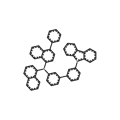 c1ccc(-c2ccc(N(c3cccc(-c4cccc(-n5c6ccccc6c6ccccc65)c4)c3)c3cccc4ccccc34)c3ccccc23)cc1